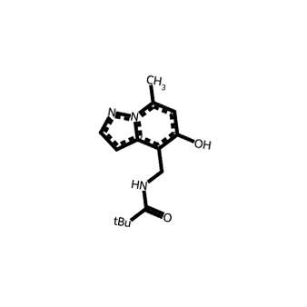 Cc1cc(O)c(CNC(=O)C(C)(C)C)c2ccnn12